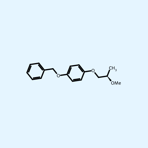 CO[C@H](C)COc1ccc(OCc2ccccc2)cc1